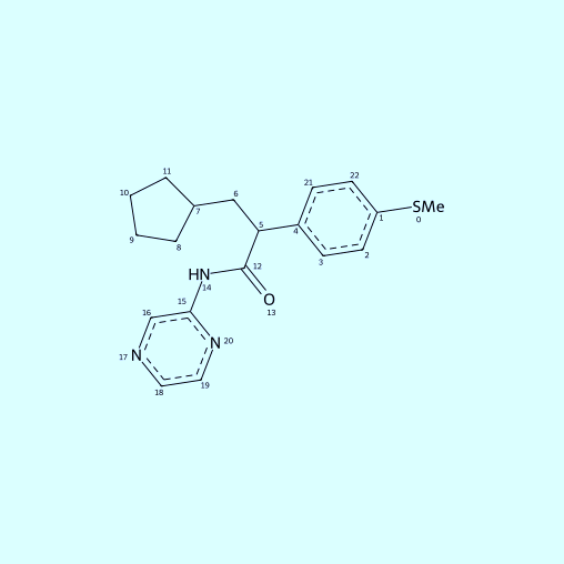 CSc1ccc(C(CC2CCCC2)C(=O)Nc2cnccn2)cc1